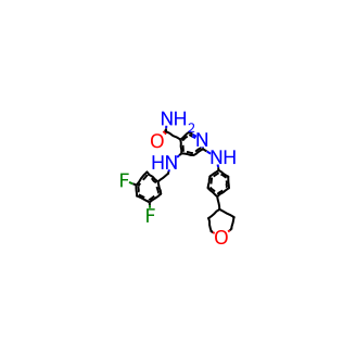 NC(=O)c1cnc(Nc2ccc(C3CCOCC3)cc2)cc1NCc1cc(F)cc(F)c1